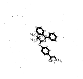 CCC(C)c1ccc(OC(OC(c2ccccc2)c2ccccc2)C(C)(C)C)cc1